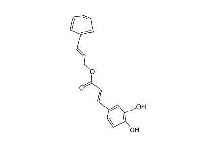 O=C(/C=C/c1ccc(O)c(O)c1)OCC=Cc1ccccc1